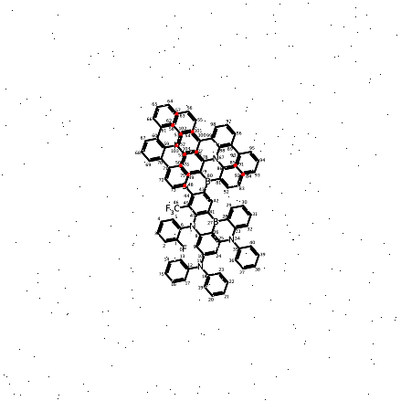 Fc1ccccc1N1c2cc(N(c3ccccc3)c3ccccc3)cc3c2B(c2ccccc2N3c2ccccc2)c2cc3c(c(C(F)(F)F)c21)Sc1cc(N(c2ccccc2)c2c(-c4ccccc4)cccc2-c2ccccc2)cc2c1B3c1ccccc1N2c1c(-c2ccccc2)cccc1-c1ccccc1